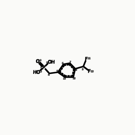 O=P(O)(O)Cc1ccc(C(F)F)cc1